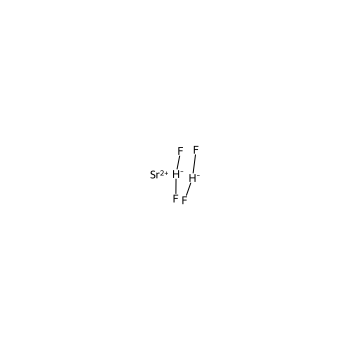 F[H-]F.F[H-]F.[Sr+2]